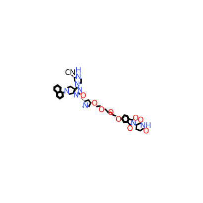 CN1C[C@H](OCCOCCOCCOc2ccc3c(c2)C(=O)N(C2CCC(=O)NC2=O)C3=O)C[C@H]1COc1nc2c(c(N3CCN[C@@H](CC#N)C3)n1)CCN(c1cccc3ccccc13)C2